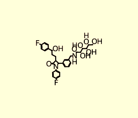 O=C(NCc1cccc(C2C(CCC(O)c3ccc(F)cc3)C(=O)N2c2ccc(F)cc2)c1)C(O)C(O)C(O)C(O)CO